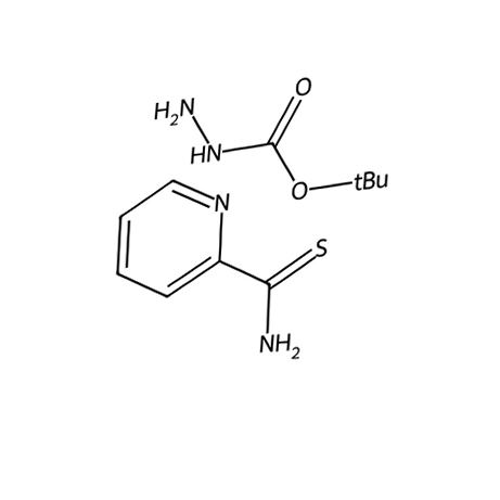 CC(C)(C)OC(=O)NN.NC(=S)c1ccccn1